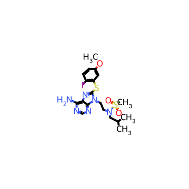 COc1ccc(I)c(Sc2nc3c(N)ncnc3n2CCN(CC(C)C)S(C)(=O)=O)c1